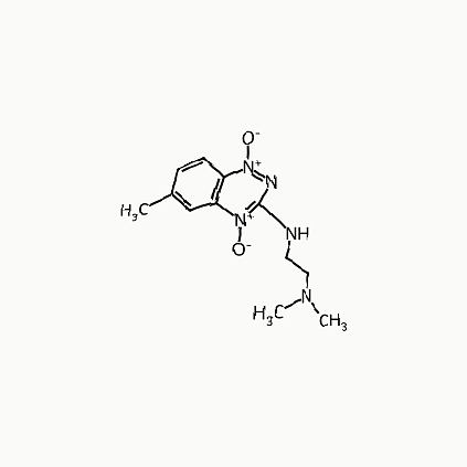 Cc1ccc2c(c1)[n+]([O-])c(NCCN(C)C)n[n+]2[O-]